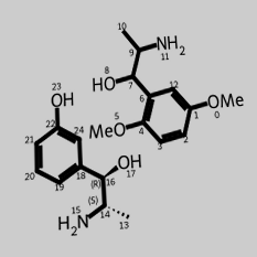 COc1ccc(OC)c(C(O)C(C)N)c1.C[C@H](N)[C@H](O)c1cccc(O)c1